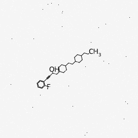 CCCC1CCC(CCC2CCC(CC(O)C#Cc3ccccc3F)CC2)CC1